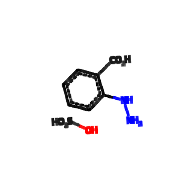 NNc1ccccc1C(=O)O.O=S(=O)(O)O